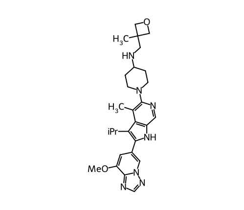 COc1cc(-c2[nH]c3cnc(N4CCC(NCC5(C)COC5)CC4)c(C)c3c2C(C)C)cn2ncnc12